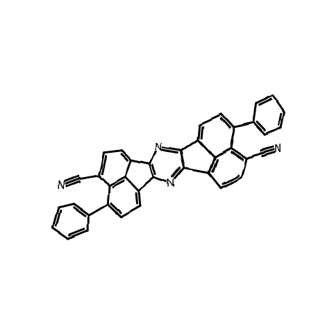 N#Cc1ccc2c3nc4c5ccc(-c6ccccc6)c6c(C#N)ccc(c4nc3c3ccc(-c4ccccc4)c1c23)c65